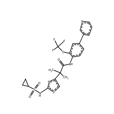 CC(C)(C(=O)Nc1ccc(-c2cccnc2)cc1OC(F)(F)F)c1csc(NS(=O)(=O)C2CC2)n1